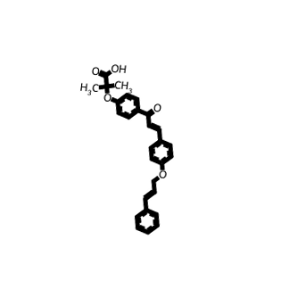 CC(C)(Oc1ccc(C(=O)C=Cc2ccc(OCC=Cc3ccccc3)cc2)cc1)C(=O)O